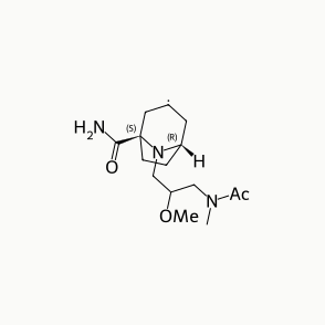 COC(CN(C)C(C)=O)CN1[C@@H]2C[CH]C[C@@]1(C(N)=O)CC2